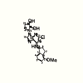 COc1cccc2c1CC[C@H]2Nc1nc(Cl)nc2c1ncn2[C@@H]1SC[C@@H](O)[C@H]1O